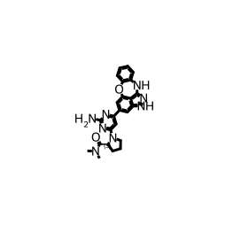 CN(C)C(=O)[C@@H]1CCCN1c1cc(-c2cc3c4c(n[nH]c4c2)Nc2ccccc2O3)nc(N)n1